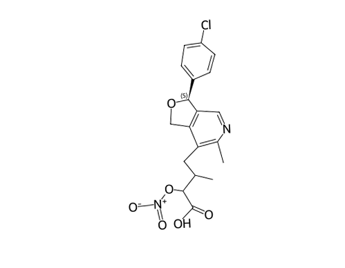 Cc1ncc2c(c1CC(C)C(O[N+](=O)[O-])C(=O)O)CO[C@H]2c1ccc(Cl)cc1